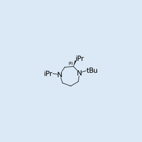 CC(C)[C@@H]1CN(C(C)C)CCCN1C(C)(C)C